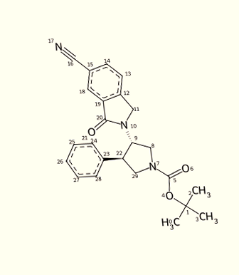 CC(C)(C)OC(=O)N1C[C@@H](N2Cc3ccc(C#N)cc3C2=O)[C@H](c2ccccc2)C1